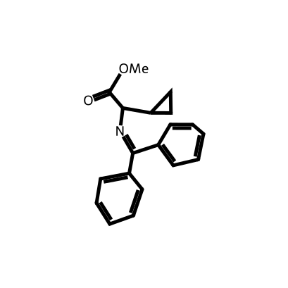 COC(=O)C(N=C(c1ccccc1)c1ccccc1)C1CC1